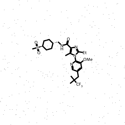 CCc1nc(C(=O)NC[C@H]2CC[C@H](S(C)(=O)=O)CC2)c(C)n1-c1ncc(CC(C)(C)C(F)(F)F)cc1OC